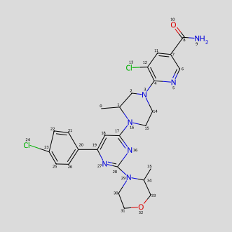 CC1CN(c2ncc(C(N)=O)cc2Cl)CCN1c1cc(-c2ccc(Cl)cc2)nc(N2CCOCC2C)n1